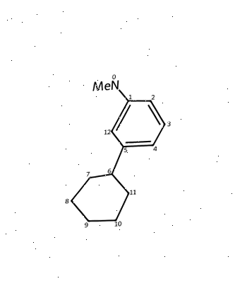 CNc1cccc(C2CCCCC2)c1